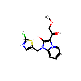 COCC(=O)c1c(O)n(Cc2cnc(Cl)s2)c2cccc[n+]12